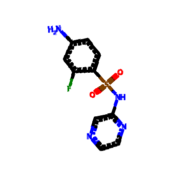 Nc1ccc(S(=O)(=O)Nc2cnccn2)c(F)c1